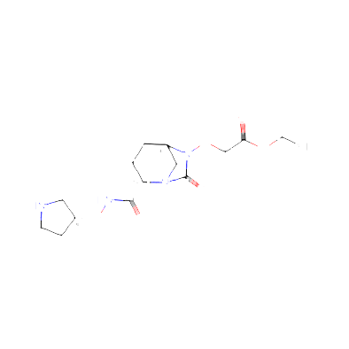 CCOC(=O)CON1C(=O)N2C[C@H]1CC[C@H]2C(=O)NO[C@@H]1CCNC1